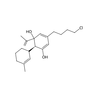 C=C(C)C1(O)C=C(CCCCCl)C=C(O)[C@H]1C1C=C(C)CCC1